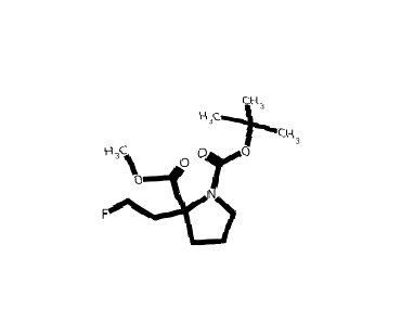 COC(=O)C1(CCF)CCCN1C(=O)OC(C)(C)C